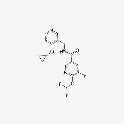 O=C(NCc1cnccc1OC1CC1)c1cnc(OC(F)F)c(F)c1